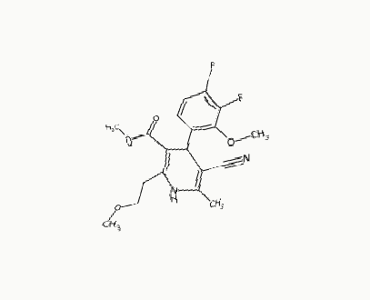 COCCC1=C(C(=O)OC)C(c2ccc(F)c(F)c2OC)C(C#N)=C(C)N1